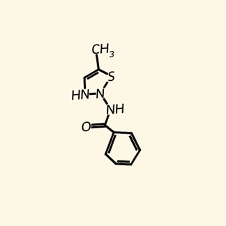 CC1=CNN(NC(=O)c2ccccc2)S1